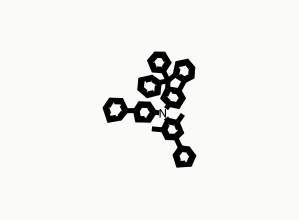 Cc1cc(-c2ccccc2)cc(C)c1N(c1ccc(-c2ccccc2)cc1)c1ccc2c(c1)C(c1ccccc1)(c1ccccc1)c1ccccc1-2